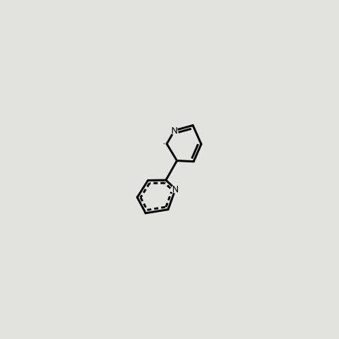 [CH]1N=CC=CC1c1ccccn1